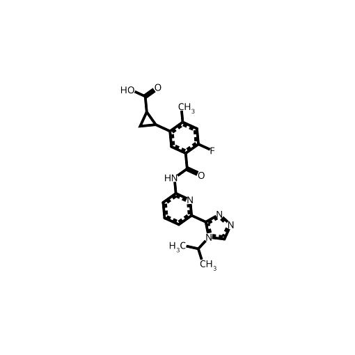 Cc1cc(F)c(C(=O)Nc2cccc(-c3nncn3C(C)C)n2)cc1C1CC1C(=O)O